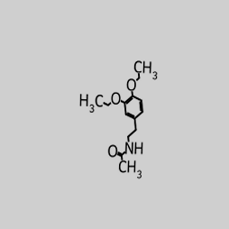 CCOc1ccc(CCNC(C)=O)cc1OCC